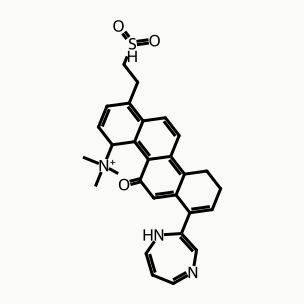 C[N+](C)(C)C1C=CC(CC[SH](=O)=O)=c2ccc3c(c21)C(=O)C=C1C(C2=CN=CC=CN2)=CCCC=31